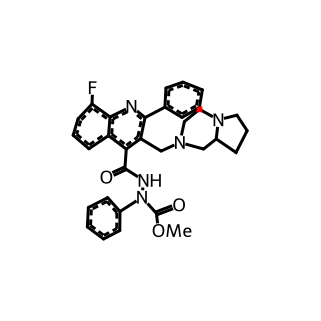 COC(=O)N(NC(=O)c1c(CN2CCN3CCCC3C2)c(-c2ccccc2)nc2c(F)cccc12)c1ccccc1